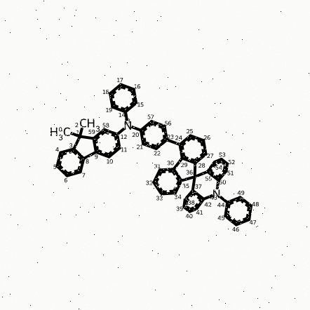 CC1(C)c2ccccc2-c2ccc(N(c3ccccc3)c3ccc(-c4cccc5c4-c4ccccc4C54c5ccccc5N(c5ccccc5)c5ccccc54)cc3)cc21